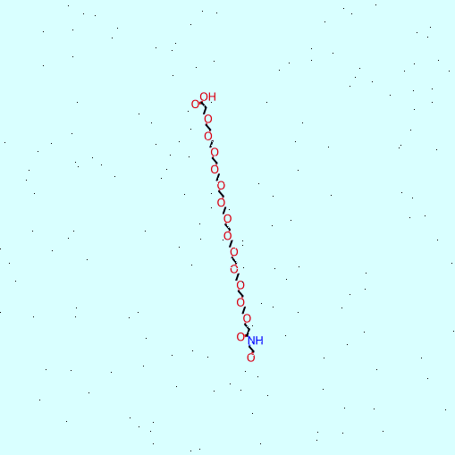 O=CCNC(=O)CCOCCOCCOCCOCCOCCOCCOCCOCCOCCOCCOCCOCCOCCC(=O)O